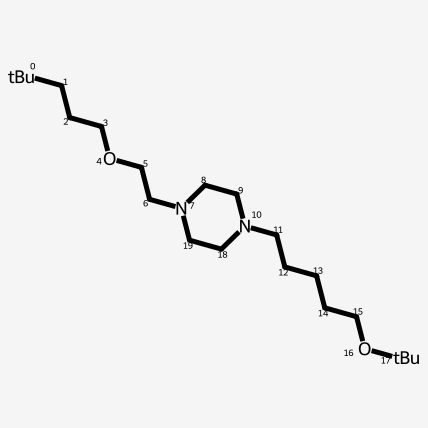 CC(C)(C)CCCOCCN1CCN(CCCCCOC(C)(C)C)CC1